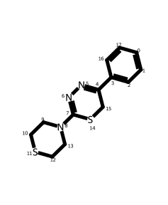 c1ccc(C2=NN=C(N3CCSCC3)SC2)cc1